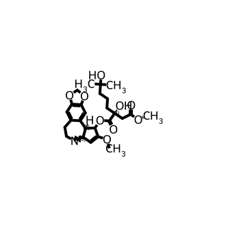 COC(=O)C[C@](O)(CCCC(C)(C)O)C(=O)OC1C(OC)=C[C@@]23CCCN2CCc2cc4c(cc2[C@@H]13)OCO4